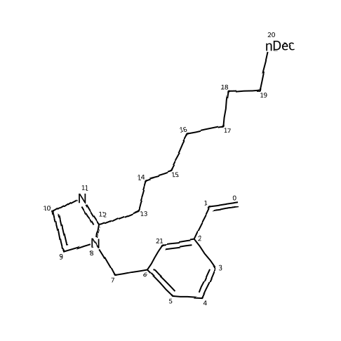 C=Cc1cccc(Cn2ccnc2CCCCCCCCCCCCCCCCC)c1